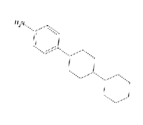 Nc1ccc(C2CCC(C3CCCCC3)CC2)cc1